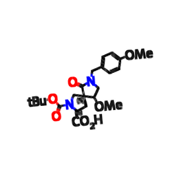 COc1ccc(CN2CC(OC)[C@@]3(C[C@@H](C(=O)O)N(C(=O)OC(C)(C)C)C3)C2=O)cc1